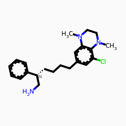 CN1CCN(C)c2c(Cl)cc(CCCC[C@H](CN)c3ccccc3)cc21